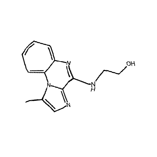 Cc1cnc2c(NCCO)nc3ccccc3n12